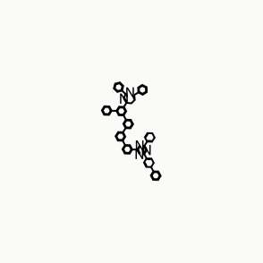 C1=CC(c2nc(C3=CCC(c4ccccc4)C=C3)nc(-c3cccc(-c4cccc(-c5cccc(-c6cc(C7=NC(c8ccccc8)=NC(c8ccccc8)=CC7)cc(-c7ccccc7)c6)c5)c4)c3)n2)=CCC1